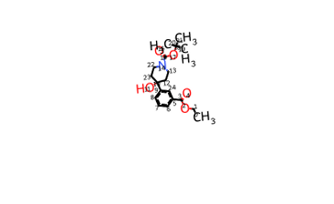 CCOC(=O)c1cccc(C2(O)CCN(C(=O)OC(C)(C)C)CC2)c1